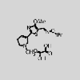 COc1nc(C2=CCCN(C)C2)sc1C=NOC(C)C.O=C(O)C(=O)O